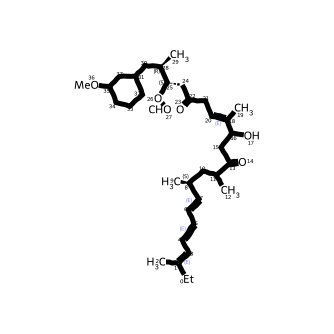 CC/C(C)=C/C=C/C=C/[C@@H](C)CC(C)C(=O)CC(O)/C(C)=C/CC(=O)C[C@H](OC=O)[C@H](C)CC1CCCC(OC)C1